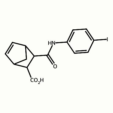 O=C(O)C1C2C=CC(C2)C1C(=O)Nc1ccc(I)cc1